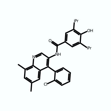 Cc1cc(C)c2ncc(NC(=O)c3cc(C(C)C)c(O)c(C(C)C)c3)c(-c3ccccc3Cl)c2c1